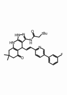 CC(C)(C)CC(=O)Nc1n[nH]c2c1C(/C=C/c1ccc(-c3cccc(F)c3)cn1)C1=C(CC(C)(C)CC1=O)N2